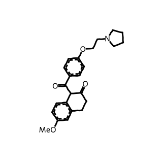 COc1ccc2c(c1)CCC(=O)C2C(=O)c1ccc(OCCN2CCCC2)cc1